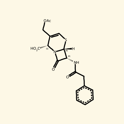 CC(=O)OCC1=CS[C@@H]2[C@H](NC(=O)Cc3ccccc3)C(=O)N2[C@@H]1C(=O)O